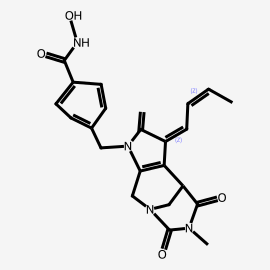 C=c1/c(=C\C=C/C)c2c(n1Cc1ccc(C(=O)NO)cc1)CN1CC2C(=O)N(C)C1=O